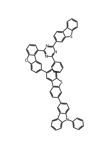 c1ccc(-c2nc(-c3ccc4c(c3)sc3ccccc34)nc(-c3cccc4oc5ccc(-c6ccc7sc8cc(-c9ccc%10c(c9)c9ccccc9n%10-c9ccccc9)ccc8c7c6)cc5c34)n2)cc1